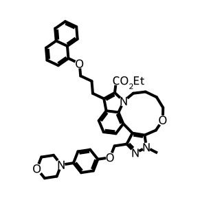 CCOC(=O)c1c(CCCOc2cccc3ccccc23)c2cccc3c2n1CCCCOCc1c-3c(COc2ccc(N3CCOCC3)cc2)nn1C